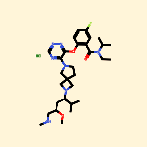 CCN(C(=O)c1cc(F)ccc1Oc1nncnc1N1CCC2(C1)CN([C@H](C[C@H](CNC)OC)C(C)C)C2)C(C)C.Cl